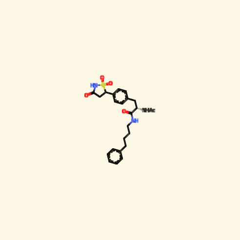 CC(=O)N[C@@H](Cc1ccc(C2CC(=O)NS2(=O)=O)cc1)C(=O)NCCCCc1ccccc1